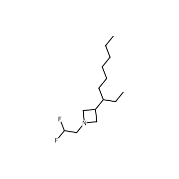 CCCCCCC(CC)C1CN(CC(F)F)C1